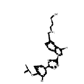 CC(C)Oc1ccc(-c2nc(-n3cc(Cl)c4cc(CNCCCO)ccc43)no2)cc1Cl